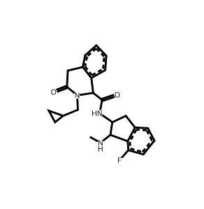 CNC1c2c(F)cccc2CC1NC(=O)C1c2ccccc2CC(=O)N1CC1CC1